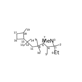 CCC(C)(NC)C(C)C(C)C(C)(C)CC(C)(C)C1CCC1C